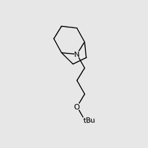 CC(C)(C)OCCCN1C2CCCC1CC2